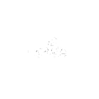 Cc1c([C@@H](C)NC(=O)c2cn(C3CCOCC3)c(=O)cc2N[C@@H]2CCN(C)C3(CC3)C2)cccc1C(F)(F)F